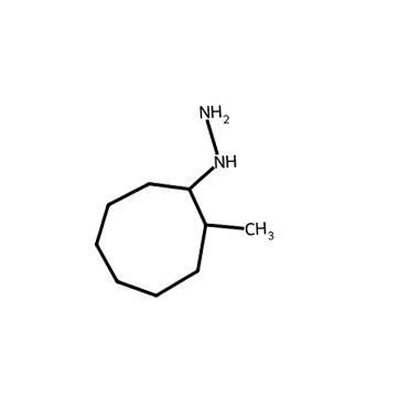 CC1CCCCCCC1NN